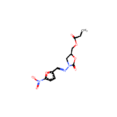 CCC(=O)OCC1CN(/N=C/c2ccc([N+](=O)[O-])o2)C(=O)O1